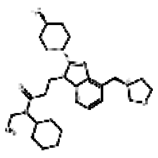 CCN(C(=O)CCn1c2cccc(C[C@H]3CCOC3)c2nc1[C@H]1CC[C@H](C)CC1)C1CCCCC1